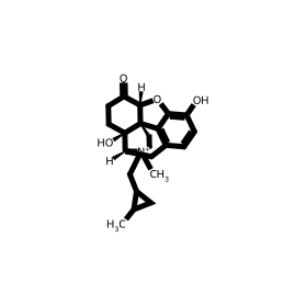 CC1CC1C[N+]1(C)CC[C@]23c4c5ccc(O)c4O[C@H]2C(=O)CC[C@@]3(O)[C@H]1C5